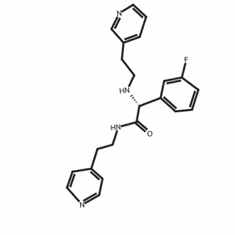 O=C(NCCc1ccncc1)[C@H](NCCc1cccnc1)c1cccc(F)c1